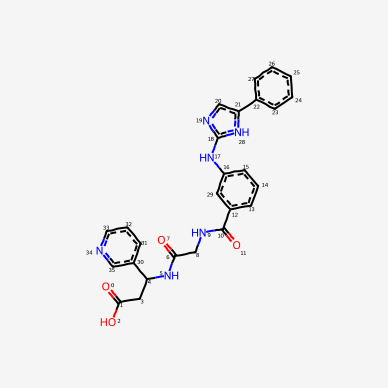 O=C(O)CC(NC(=O)CNC(=O)c1cccc(Nc2ncc(-c3ccccc3)[nH]2)c1)c1cccnc1